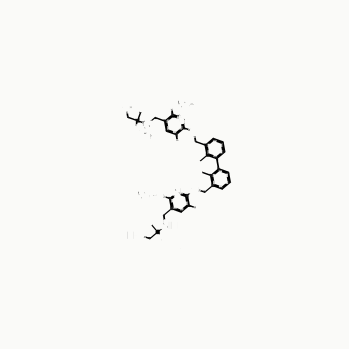 COc1nc(OCc2cccc(-c3cccc(COc4nc(OC)c(CNC(C)(CO)C(=O)O)cc4Cl)c3C)c2C)c(Cl)cc1CNC(C)(CO)C(=O)O